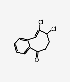 O=C1CCC(Cl)/C(Cl)=C/c2ccccc21